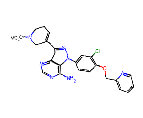 Nc1ncnc2c(C3=CCCN(C(=O)O)C3)nn(-c3ccc(OCc4ccccn4)c(Cl)c3)c12